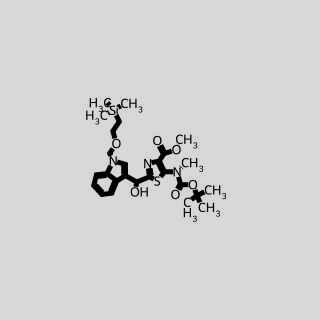 COC(=O)c1nc(C(O)c2cn(COCC[Si](C)(C)C)c3ccccc23)sc1N(C)C(=O)OC(C)(C)C